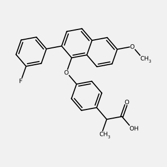 COc1ccc2c(Oc3ccc(C(C)C(=O)O)cc3)c(-c3cccc(F)c3)ccc2c1